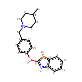 CC1CCN(Cc2ccc(Oc3nc4ccccc4s3)cc2)CC1